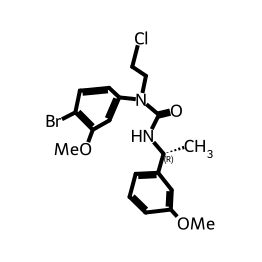 COc1cccc([C@@H](C)NC(=O)N(CCCl)c2ccc(Br)c(OC)c2)c1